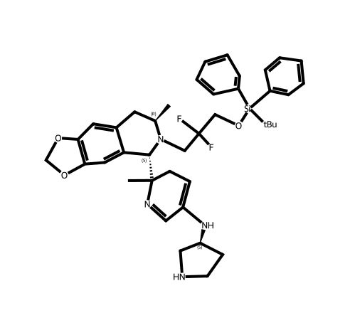 C[C@@H]1Cc2cc3c(cc2[C@@H](C2(C)CC=C(N[C@H]4CCNC4)C=N2)N1CC(F)(F)CO[Si](c1ccccc1)(c1ccccc1)C(C)(C)C)OCO3